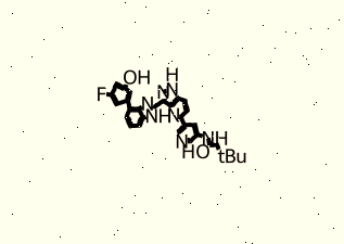 CC(C)(C)CC(O)Nc1cncc(-c2ccc3[nH]nc(-c4nc5c(-c6cc(O)cc(F)c6)cccc5[nH]4)c3n2)c1